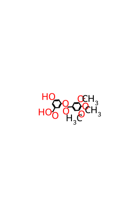 COc1cc(C(=O)Oc2cc(O)cc(C(=O)O)c2)cc(OC)c1OC